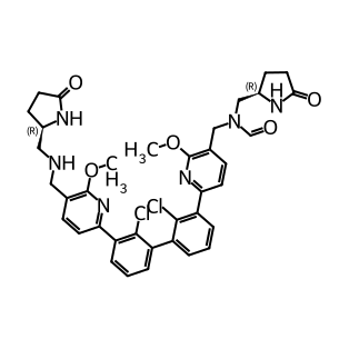 COc1nc(-c2cccc(-c3cccc(-c4ccc(CN(C=O)C[C@H]5CCC(=O)N5)c(OC)n4)c3Cl)c2Cl)ccc1CNC[C@H]1CCC(=O)N1